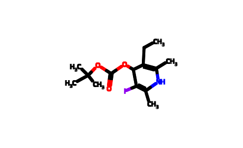 CCC1=C(C)NC(C)=C(I)C1OC(=O)OC(C)(C)C